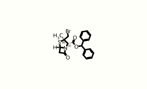 C[C@@]1(CBr)S[C@H]2CC(=O)N2[C@H]1C(=O)OC(c1ccccc1)c1ccccc1